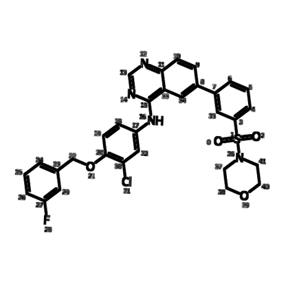 O=S(=O)(c1cccc(-c2ccc3ncnc(Nc4ccc(OCc5cccc(F)c5)c(Cl)c4)c3c2)c1)N1CCOCC1